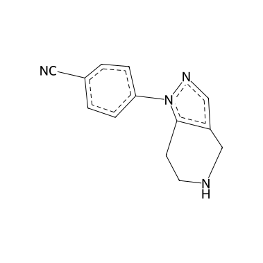 N#Cc1ccc(-n2ncc3c2CCNC3)cc1